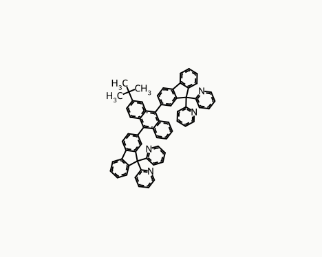 CC(C)(C)c1ccc2c(-c3ccc4c(c3)C(c3ccccn3)(c3ccccn3)c3ccccc3-4)c3ccccc3c(-c3ccc4c(c3)C(c3ccccn3)(c3ccccn3)c3ccccc3-4)c2c1